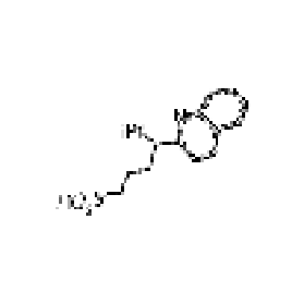 CC(C)C(CCCS(=O)(=O)O)c1ccc2ccccc2n1